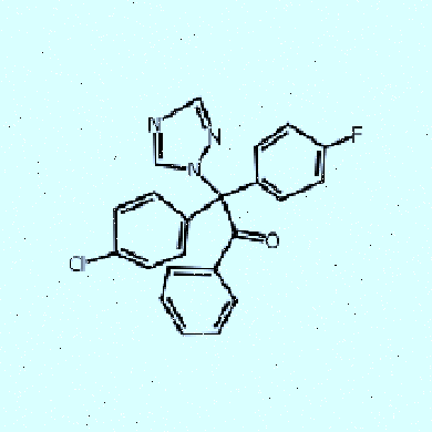 O=C(c1ccccc1)C(c1ccc(F)cc1)(c1ccc(Cl)cc1)n1cncn1